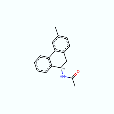 CC(=O)N[C@H]1Cc2ccc(C)cc2-c2ccccc21